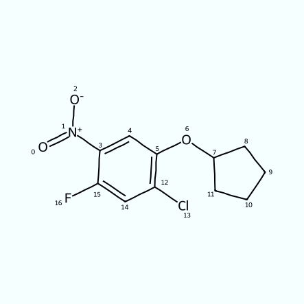 O=[N+]([O-])c1cc(OC2CCCC2)c(Cl)cc1F